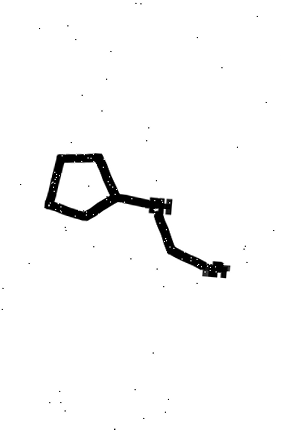 CCCCPC1CCCC1